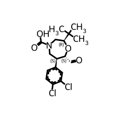 CC(C)(C)[C@@H]1CN(C(=O)O)C[C@H](c2ccc(Cl)c(Cl)c2)[C@@H](C=O)O1